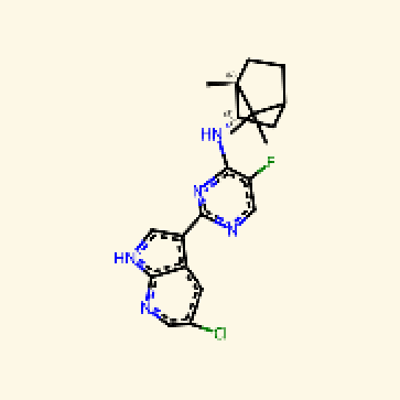 CC1(C)C2CC[C@@]1(C)[C@@H](Nc1nc(-c3c[nH]c4ncc(Cl)cc34)ncc1F)C2